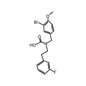 COc1ccc(CN(CCc2cccc(F)c2)C(=O)O)cc1Br